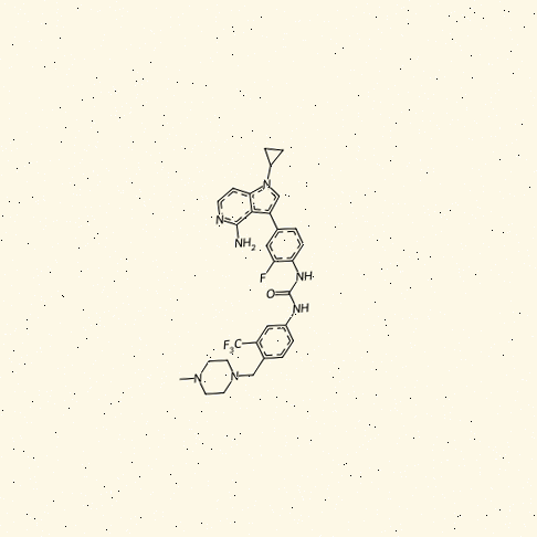 CN1CCN(Cc2ccc(NC(=O)Nc3ccc(-c4cn(C5CC5)c5ccnc(N)c45)cc3F)cc2C(F)(F)F)CC1